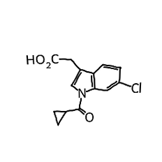 O=C(O)Cc1cn(C(=O)C2CC2)c2cc(Cl)ccc12